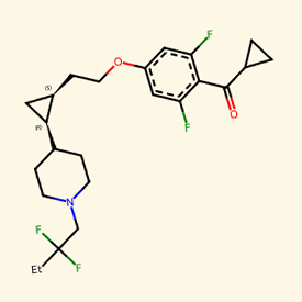 CCC(F)(F)CN1CCC([C@H]2C[C@H]2CCOc2cc(F)c(C(=O)C3CC3)c(F)c2)CC1